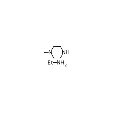 CCN.CN1CCNCC1